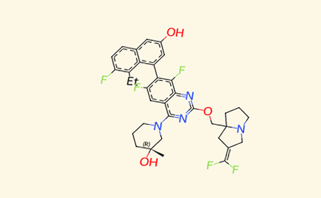 CCc1c(F)ccc2cc(O)cc(-c3c(F)cc4c(N5CCC[C@@](C)(O)C5)nc(OCC56CCCN5CC(=C(F)F)C6)nc4c3F)c12